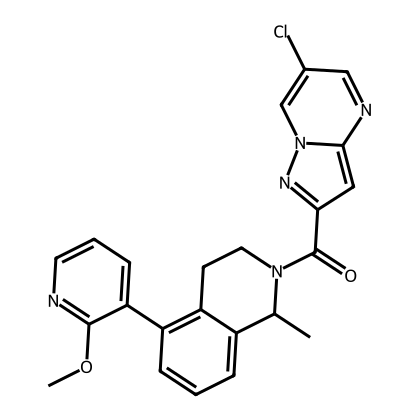 COc1ncccc1-c1cccc2c1CCN(C(=O)c1cc3ncc(Cl)cn3n1)C2C